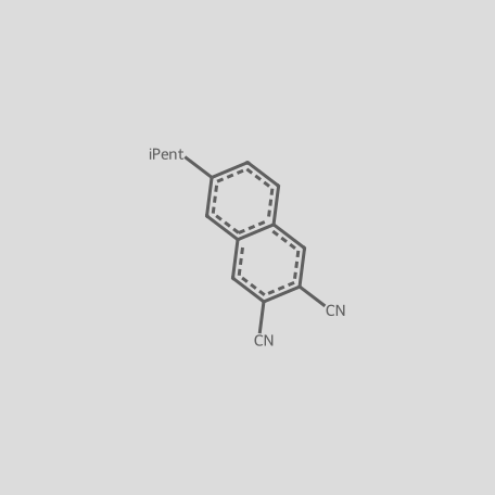 CCCC(C)c1ccc2cc(C#N)c(C#N)cc2c1